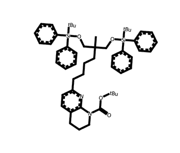 CC(CCCCc1ccc2c(n1)N(C(=O)OC(C)(C)C)CCC2)(CO[Si](c1ccccc1)(c1ccccc1)C(C)(C)C)CO[Si](c1ccccc1)(c1ccccc1)C(C)(C)C